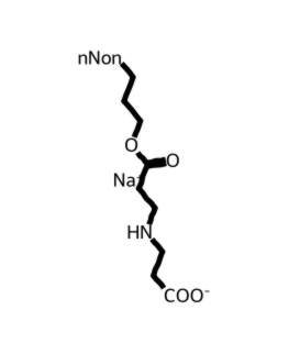 CCCCCCCCCCCCOC(=O)CCNCCC(=O)[O-].[Na+]